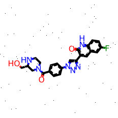 O=C(c1ccc(-n2cc(-c3cc4cc(F)ccc4[nH]c3=O)nn2)cc1)N1CCNC(CO)C1